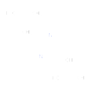 Cc1cc(C)c(-c2ccc3c(c2)c2c4c5ccc6ccccc6c5n5c6ccc(-c7c(C)cc(C)cc7C)cc6c(c6c7ccc8ccccc8c7n3c26)c45)c(C)c1